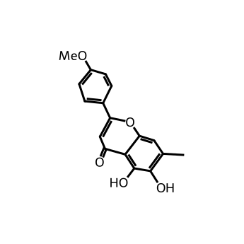 COc1ccc(-c2cc(=O)c3c(O)c(O)c(C)cc3o2)cc1